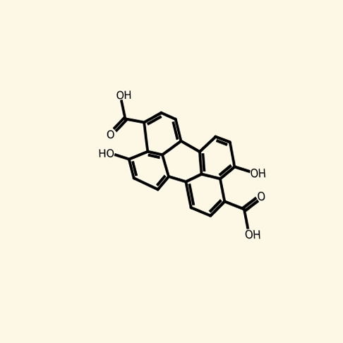 O=C(O)c1ccc2c3ccc(O)c4c(C(=O)O)ccc(c5ccc(O)c1c52)c43